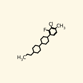 CCCC1CCC(C2CCC(c3ccc(C)c(Cl)c3F)CC2)CC1